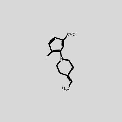 CC=C1CCN(c2cc(C=O)ccc2F)CC1